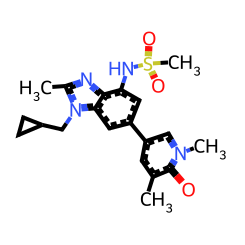 Cc1cc(-c2cc(NS(C)(=O)=O)c3nc(C)n(CC4CC4)c3c2)cn(C)c1=O